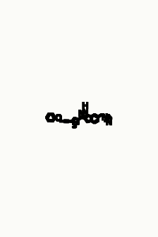 C(#Cc1cc(-c2n[nH]c3c2Cc2ccc(Cn4ccnc4)cc2-3)cs1)COc1ccccc1